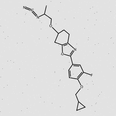 CC(COC1CCc2nc(-c3ccc(OCC4CC4)c(F)c3)oc2C1)N=[N+]=[N-]